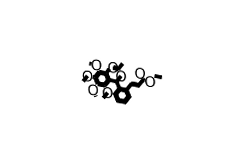 CCOC(=O)C=Cc1ccccc1C(OC(C)=O)c1c(C)c(OC)c(OC)c(OC)c1OC